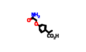 CC(C(=O)O)c1ccc(OCC(N)=O)cc1